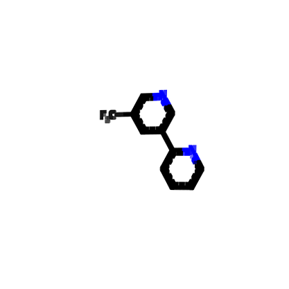 FC(F)(F)c1cncc(-c2ccccn2)c1